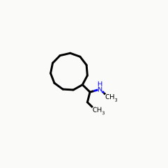 CCC(NC)C1CCCCCCCCCC1